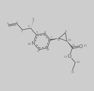 C=CC[C@H](C)c1cc([C@H]2C[C@H]2C(=O)OCC)ccn1